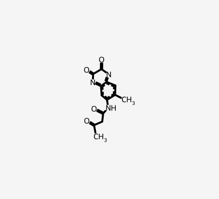 CC(=O)CC(=O)Nc1cc2c(cc1C)=NC(=O)C(=O)N=2